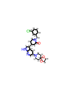 O=c1cc(-c2c[nH]c3ncc(N4CCC5(CC4)OCCO5)cc23)ccn1Cc1cccc(Cl)c1